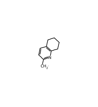 [CH2]c1ccc2c(n1)CCCC2